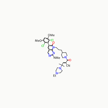 CCN1CCN(C(C)(C)C=C(C#N)C(=O)N2CCC(CCCn3c(=O)c(-c4c(Cl)c(OC)cc(OC)c4Cl)cc4cnc(NC)nc43)CC2)CC1